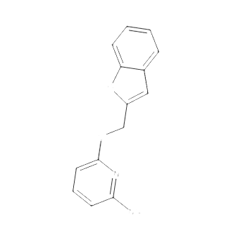 Nc1cccc(OCc2cc3ccccc3o2)n1